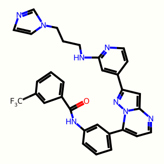 O=C(Nc1cccc(-c2ccnc3cc(-c4ccnc(NCCCn5ccnc5)c4)nn23)c1)c1cccc(C(F)(F)F)c1